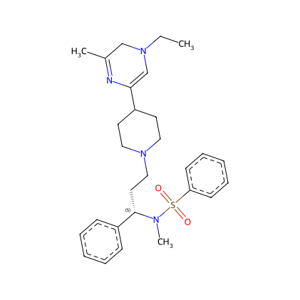 CCN1C=C(C2CCN(CC[C@@H](c3ccccc3)N(C)S(=O)(=O)c3ccccc3)CC2)N=C(C)C1